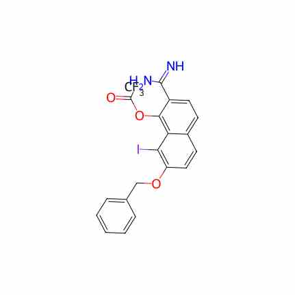 N=C(N)c1ccc2ccc(OCc3ccccc3)c(I)c2c1OC(=O)C(F)(F)F